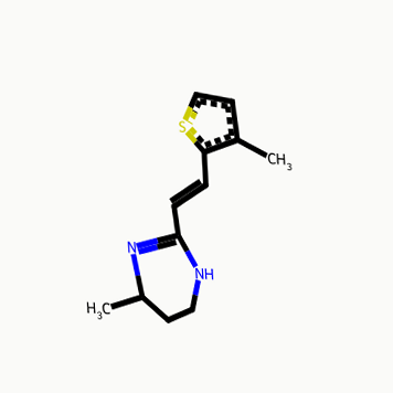 Cc1ccsc1C=CC1=NC(C)CCN1